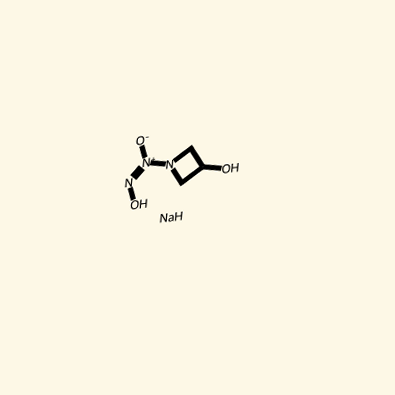 [NaH].[O-]/[N+](=N/O)N1CC(O)C1